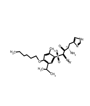 CCCCCCOc1cc(C)c(S(=O)(=O)C(=[N+]=[N-])C(=O)[C@@H](N)Cc2c[nH]cn2)cc1C(C)C